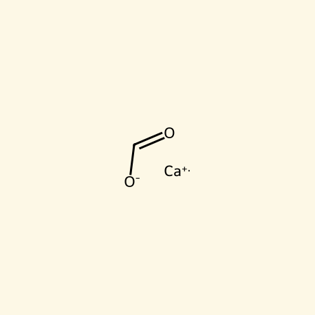 O=C[O-].[Ca+]